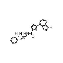 N[C@H](CNC(=O)c1ccc(-c2ccnc3[nH]ccc23)s1)Cc1ccccc1